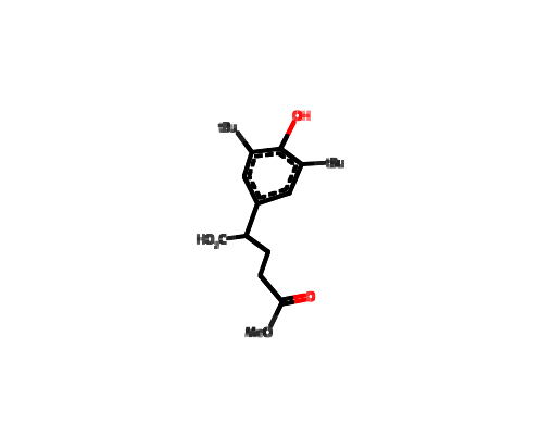 COC(=O)CCC(C(=O)O)c1cc(C(C)(C)C)c(O)c(C(C)(C)C)c1